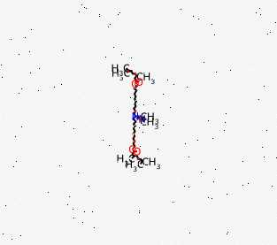 CC(C)=CCCC(C)CC(=O)OCCCCCCCCCCCCN(CCCCCCCCCCCCOC(=O)CC(C)CCC=C(C)C)CCN(C)C